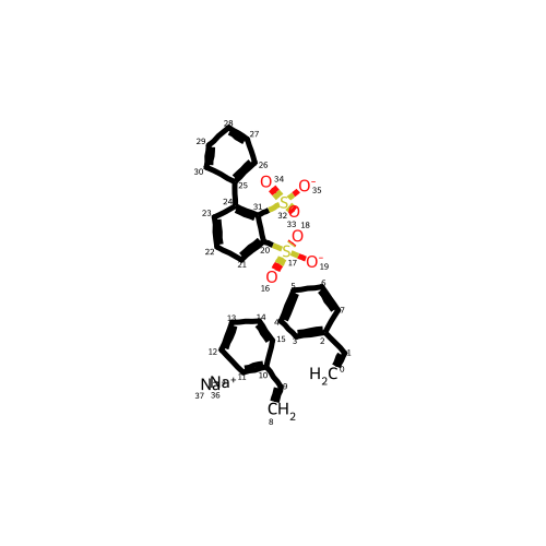 C=Cc1ccccc1.C=Cc1ccccc1.O=S(=O)([O-])c1cccc(-c2ccccc2)c1S(=O)(=O)[O-].[Na+].[Na+]